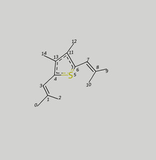 CC(C)=Cc1sc(C=C(C)C)c(C)c1C